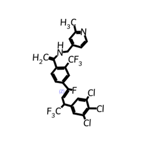 C=C(NCc1ccnc(C)c1)c1ccc(/C(F)=C/C(c2cc(Cl)c(Cl)c(Cl)c2)C(F)(F)F)cc1C(F)(F)F